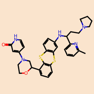 Cc1cccc(C(CCN2CCCC2)Nc2ccc3c(c2)Sc2cccc(C4CN(c5cc[nH]c(=O)c5)CCO4)c2S3)n1